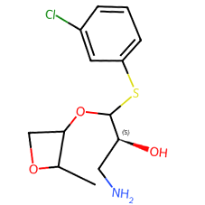 CC1OCC1OC(Sc1cccc(Cl)c1)[C@@H](O)CN